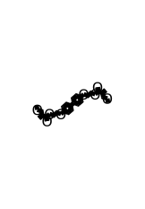 C=C(COC)C(=O)OCCOc1ccc(-c2ccc(OCCOC(=O)C(=C)COC)cc2)cc1